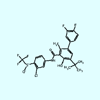 Cc1c(-c2ccc(F)c(F)c2)cc(C(C)(C)C)c(O)c1C(=O)Nc1ccc([S+]([O-])C(F)(F)F)c(Cl)c1